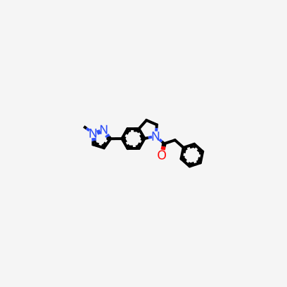 Cn1ccc(-c2ccc3c(c2)CCN3C(=O)Cc2ccccc2)n1